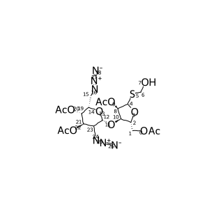 CC(=O)OC[C@H]1OC(SCO)[C@H](OC(C)=O)[C@@H]1O[C@H]1O[C@@H](CN=[N+]=[N-])[C@@H](OC(C)=O)[C@H](OC(C)=O)C1N=[N+]=[N-]